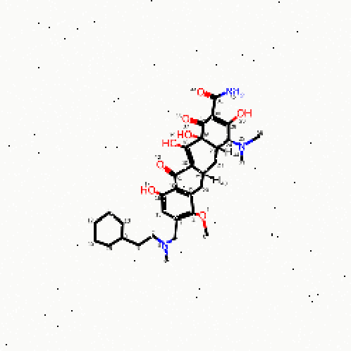 COc1c(CN(C)CCC2CCCCC2)cc(O)c2c1C[C@H]1C[C@H]3[C@H](N(C)C)C(O)=C(C(N)=O)C(=O)[C@@]3(O)C(O)=C1C2=O